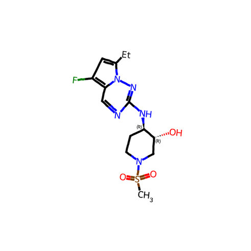 CCc1cc(F)c2cnc(N[C@@H]3CCN(S(C)(=O)=O)C[C@H]3O)nn12